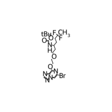 CC(F)(F)CCC(CCOCCOc1nc(Br)cn2ncnc12)NC(=O)OC(C)(C)C